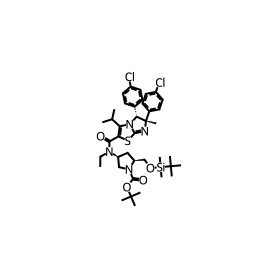 CCN(C(=O)C1=C(C(C)C)N2C(=N[C@@](C)(c3ccc(Cl)cc3)[C@H]2c2ccc(Cl)cc2)S1)[C@H]1C[C@@H](CO[Si](C)(C)C(C)(C)C)N(C(=O)OC(C)(C)C)C1